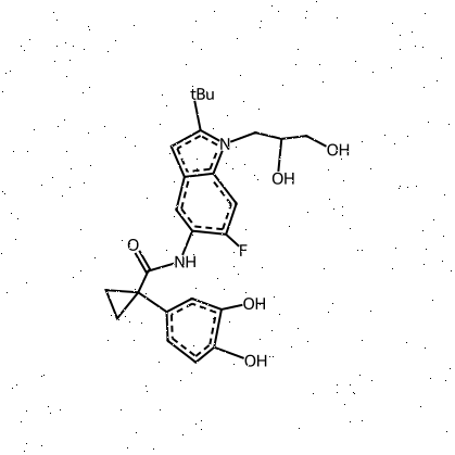 CC(C)(C)c1cc2cc(NC(=O)C3(c4ccc(O)c(O)c4)CC3)c(F)cc2n1CC(O)CO